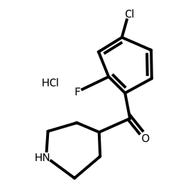 Cl.O=C(c1ccc(Cl)cc1F)C1CCNCC1